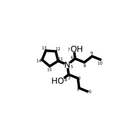 CCCC(O)N(C(O)CCC)C1CCCC1